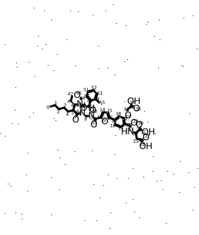 CCCCCC(C(=O)NCNC(=O)c1ccc(-c2ccc(C(=O)NC(CC(=O)O)C(=O)O)c(OCC(=O)O)c2)o1)[C@@H](CC)N(C=O)OC(=O)c1ccccc1C